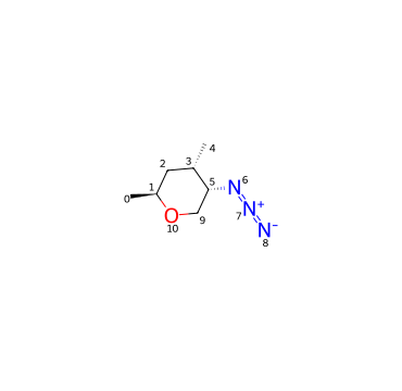 C[C@H]1C[C@H](C)[C@H](N=[N+]=[N-])CO1